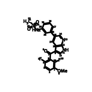 COc1ccc(F)c(C(=O)c2c[nH]c3ncc(-c4cccc(NS(C)(=O)=O)c4)cc23)c1F